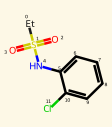 CCS(=O)(=O)Nc1ccccc1Cl